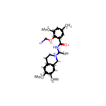 CCCC(NC(=O)c1cc(C)cc(OC)c1OCI)N1CCc2cc(OC)c(OC)cc2C1